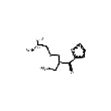 CC(=O)N[C@@H](CSCC(CC(=O)O)C(=O)c1cccs1)C(=O)O